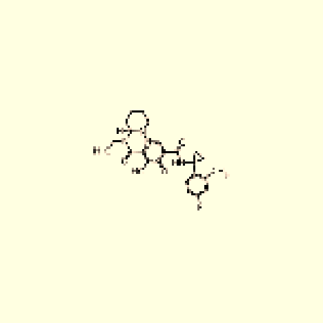 CCN1C(=O)c2c(O)c(=O)c(C(=O)NC3(c4ccc(F)cc4C)CC3)cn2N2CCCC[C@@H]12